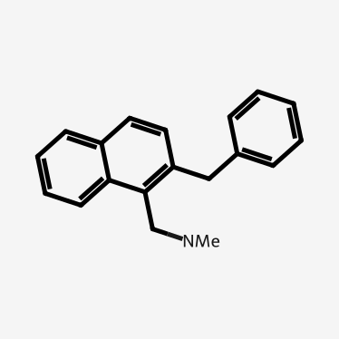 CNCc1c(Cc2ccccc2)ccc2ccccc12